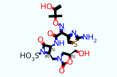 C=C(O)C(C)(C)O/N=C(\C(=O)N[C@@H]1C(=O)N(S(=O)(=O)O)[C@@H]1CN1C[C@@H](CO)OC1=O)c1csc(N)n1